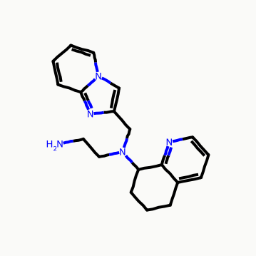 NCCN(Cc1cn2ccccc2n1)C1CCCc2cccnc21